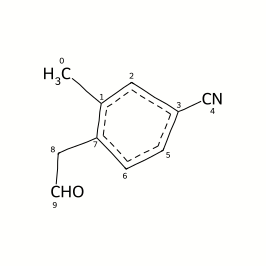 Cc1cc(C#N)ccc1CC=O